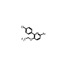 CC(=O)c1ccc(OCC(F)(F)F)c(-c2ccc(Cl)cc2)n1